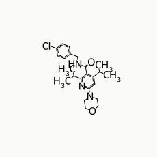 CC(C)c1cc(N2CCOCC2)nc(C(C)C)c1C(=O)NCc1ccc(Cl)cc1